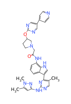 Cc1cnc(Nc2cc(C)n(C)n2)nc1-c1c[nH]c2c(NC(=O)CN3CCC(Oc4ncc(-c5ccncc5)cn4)C3)cccc12